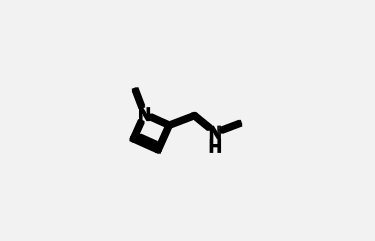 CNCC1C=CN1C